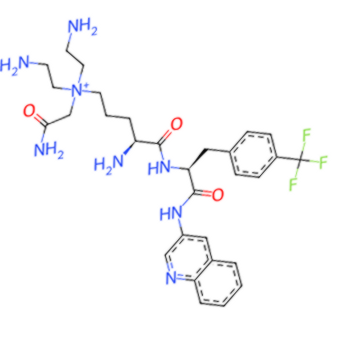 NCC[N+](CCN)(CCC[C@H](N)C(=O)N[C@@H](Cc1ccc(C(F)(F)F)cc1)C(=O)Nc1cnc2ccccc2c1)CC(N)=O